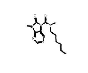 CCCCCCN(C)C(=O)n1c(=O)n(C)c2ncncc21